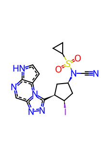 N#CN([C@H]1C[C@@H](I)[C@@H](c2nnc3cnc4[nH]ccc4n23)C1)S(=O)(=O)C1CC1